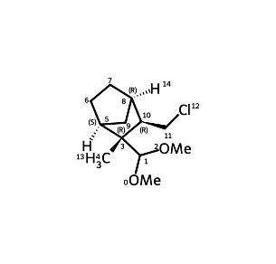 COC(OC)[C@]1(C)[C@H]2CC[C@H](C2)[C@H]1CCl